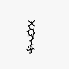 CC(C)(C)CN1CCN(CCCOC(C)(C)C)CC1